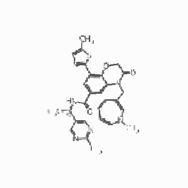 Cc1cnc(-c2cc(C(=O)N[C@H](C)c3cnc(C(F)(F)F)nc3)cc3c2OCC(=O)N3CC2=CN(C)C=CC=C2)s1